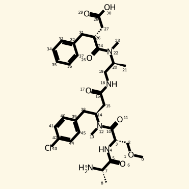 COC[C@H](NC(=O)[C@H](C)N)C(=O)N(C)[C@H](CC(=O)NC[C@H](C)N(C)C(=O)[C@@H](CC(=O)O)Cc1ccccc1)Cc1ccc(Cl)cc1